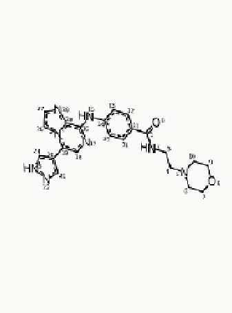 O=C(NCCN1CCOCC1)c1ccc(Nc2ncc(-c3cn[nH]c3)n3ccnc23)cc1